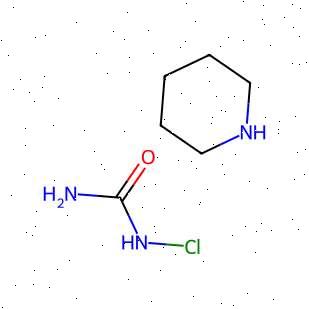 C1CCNCC1.NC(=O)NCl